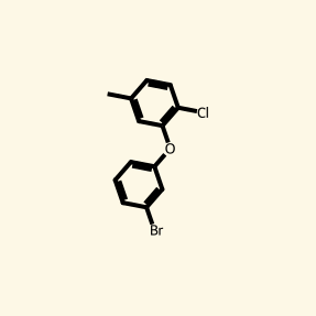 Cc1ccc(Cl)c(Oc2cccc(Br)c2)c1